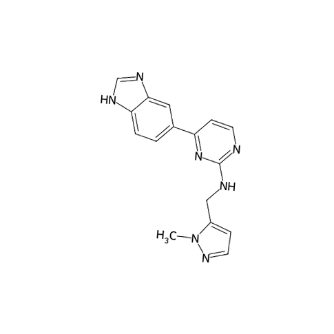 Cn1nccc1CNc1nccc(-c2ccc3[nH]cnc3c2)n1